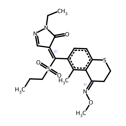 CCCS(=O)(=O)/C(=C1\C=NN(CC)C1=O)c1ccc2c(c1C)/C(=N/OC)CCS2